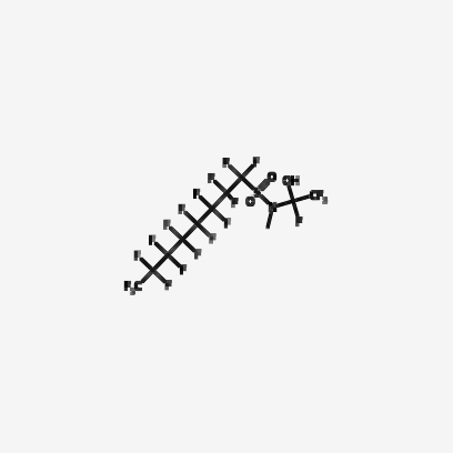 CN(C(O)(F)C(F)(F)F)S(=O)(=O)C(F)(F)C(F)(F)C(F)(F)C(F)(F)C(F)(F)C(F)(F)C(F)(F)C(F)(F)F